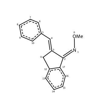 CON=C1C(=Cc2ccccc2)Cc2ccccc21